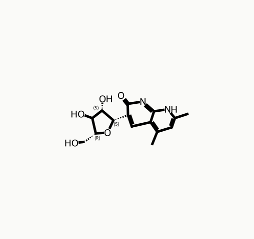 Cc1cc(C)c2cc([C@@H]3O[C@H](CO)C(O)[C@@H]3O)c(=O)nc-2[nH]1